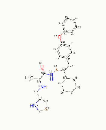 C[C@@H](NC[C@@H]1CSCN1)C(=O)NSC(Cc1ccc(Oc2ccccc2)cc1)C1CCCCC1